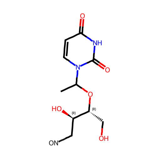 CC(O[C@H](CO)[C@H](O)CN=O)n1ccc(=O)[nH]c1=O